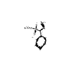 [N]=NC(c1ccccc1)S(=O)(=O)O